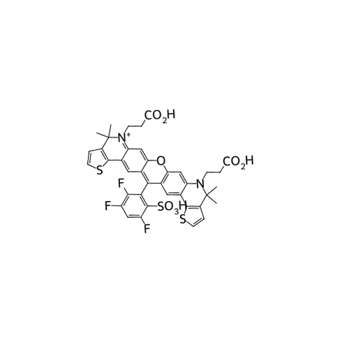 CC1(C)c2ccsc2-c2cc3c(cc2N1CCC(=O)O)Oc1cc2c(cc1=C3c1c(F)c(F)cc(F)c1S(=O)(=O)O)-c1sccc1C(C)(C)[N+]=2CCC(=O)O